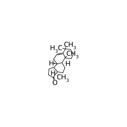 CC1(C)CCC[C@@]2(C)C1=CC[C@H]1[C@@H]3CCC(=O)[C@]3(C)CC[C@@H]12